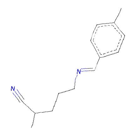 Cc1ccc(/C=N/CCCC(C)C#N)cc1